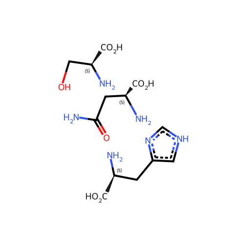 NC(=O)C[C@H](N)C(=O)O.N[C@@H](CO)C(=O)O.N[C@@H](Cc1c[nH]cn1)C(=O)O